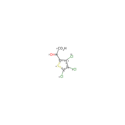 O=C(O)C(=O)c1sc(Cl)c(Cl)c1Cl